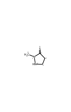 CN1NCCC1=S